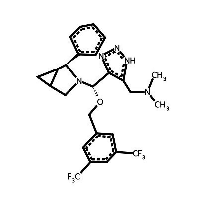 CN(C)Cc1[nH]nnc1[C@H](OCc1cc(C(F)(F)F)cc(C(F)(F)F)c1)N1CC2CC2[C@H]1c1ccccc1